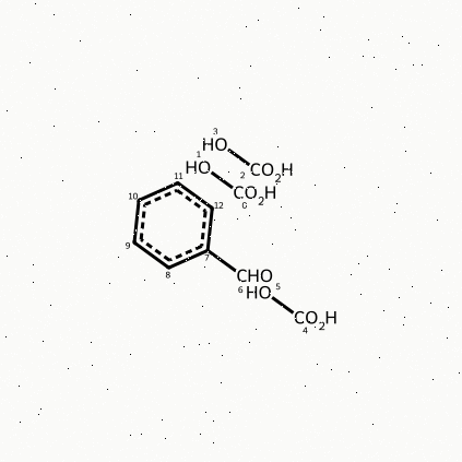 O=C(O)O.O=C(O)O.O=C(O)O.O=Cc1ccccc1